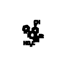 C#Cc1ccc2c(c1)C(c1ccccn1)=NCc1c(C(=O)O)nc(CC)n1-2